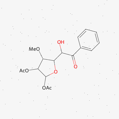 COC1C(OC(C)=O)C(OC(C)=O)OC1C(O)C(=O)c1ccccc1